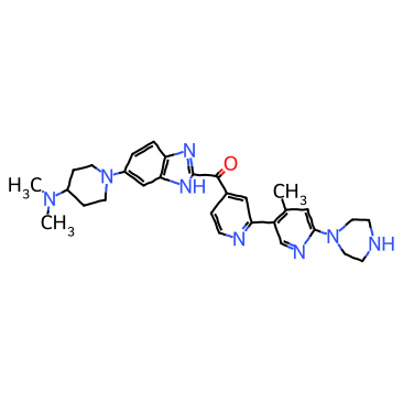 Cc1cc(N2CCNCC2)ncc1-c1cc(C(=O)c2nc3ccc(N4CCC(N(C)C)CC4)cc3[nH]2)ccn1